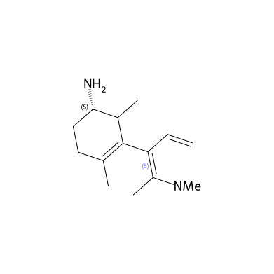 C=C/C(C1=C(C)CC[C@H](N)C1C)=C(/C)NC